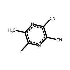 Cc1nc(C#N)c(C#N)nc1I